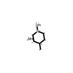 CCCN1CCC(C)CC1.N